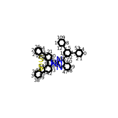 c1ccc(-c2cc(-c3ccccc3)cc(-c3nc(-n4c5ccc6c7ccccc7sc6c5c5c6sc7ccccc7c6ccc54)nc4ccccc34)c2)cc1